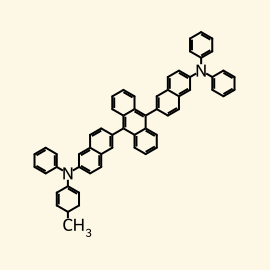 CC1C=CC(N(c2ccccc2)c2ccc3cc(-c4c5ccccc5c(-c5ccc6cc(N(c7ccccc7)c7ccccc7)ccc6c5)c5ccccc45)ccc3c2)=CC1